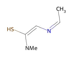 C/C=N\C=C(\S)NC